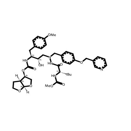 COC(=O)N[C@H](C(=O)NN(Cc1ccc(OCc2cccnc2)cc1)C[C@H](O)[C@H](Cc1ccc(OC)cc1)NC(=O)O[C@H]1CO[C@H]2OCC[C@H]21)C(C)(C)C